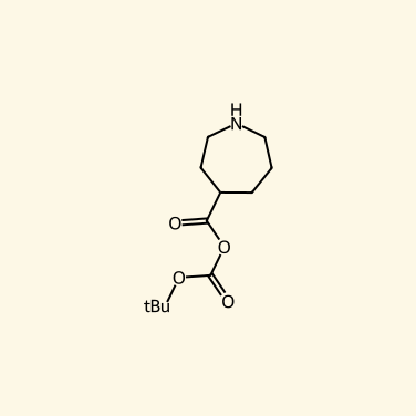 CC(C)(C)OC(=O)OC(=O)C1CCCNCC1